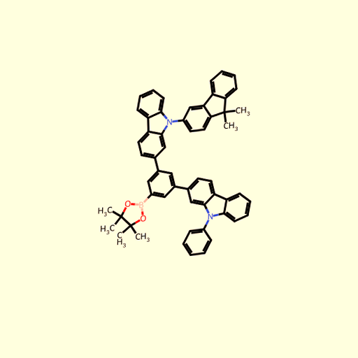 CC1(C)c2ccccc2-c2cc(-n3c4ccccc4c4ccc(-c5cc(B6OC(C)(C)C(C)(C)O6)cc(-c6ccc7c8ccccc8n(-c8ccccc8)c7c6)c5)cc43)ccc21